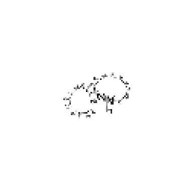 C1=C(C2=NNCCCCCCCCC2)CCCCCCCCCC1